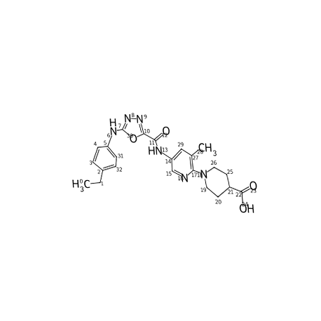 CCc1ccc(Nc2nnc(C(=O)Nc3cnc(N4CCC(C(=O)O)CC4)c(C)c3)o2)cc1